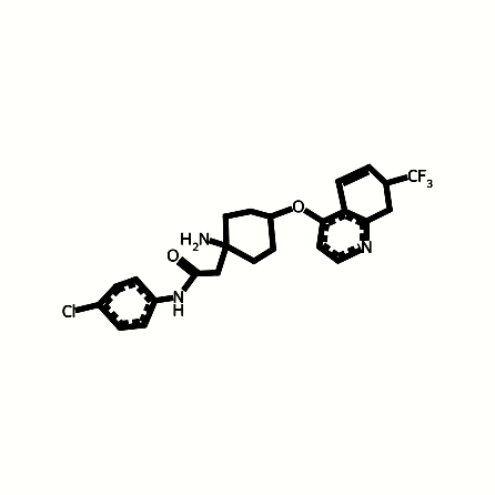 NC1(CC(=O)Nc2ccc(Cl)cc2)CCC(Oc2ccnc3c2C=CC(C(F)(F)F)C3)CC1